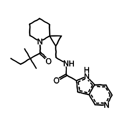 CCC(C)(C)C(=O)N1CCCCC12CC2CNC(=O)c1cc2cnccc2[nH]1